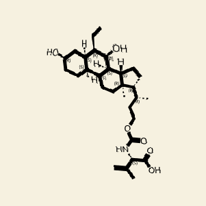 C=C(C)[C@H](NC(=O)OCC[C@@H](C)[C@H]1CC[C@H]2[C@@H]3[C@H](O)[C@H](CC)[C@@H]4C[C@H](O)CC[C@]4(C)[C@H]3CC[C@]12C)C(=O)O